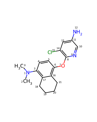 CN(C)c1ccc(Oc2ncc(N)cc2Cl)c2c1CCCC2